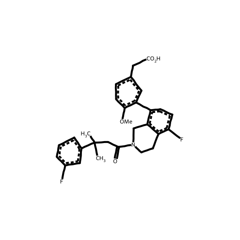 COc1ccc(CC(=O)O)cc1-c1ccc(F)c2c1CN(C(=O)CC(C)(C)c1cccc(F)c1)CC2